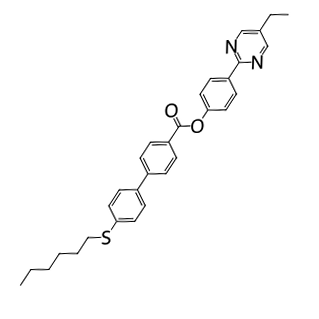 CCCCCCSc1ccc(-c2ccc(C(=O)Oc3ccc(-c4ncc(CC)cn4)cc3)cc2)cc1